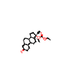 C#C[C@]1(OC(=O)OCC)CCC2C3CCC4=CC(=O)CCC4C3CC[C@@]21CC